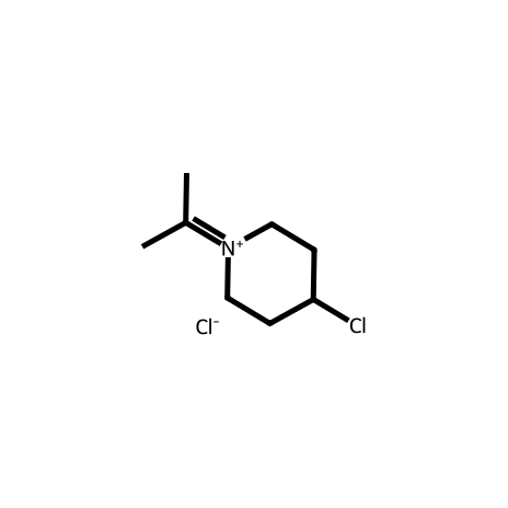 CC(C)=[N+]1CCC(Cl)CC1.[Cl-]